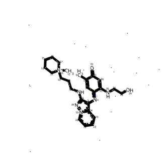 CC1=C/C(=N\c2c(NCCC[N+]3(C)CCCCC3)nn3ccccc23)C(NCCO)=CC1=O